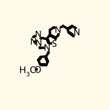 COc1ccc(CN2Cn3ncnc3-c3c2sc2c3CCN(Cc3ccncc3)C2)cc1